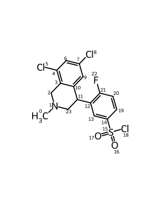 CN1Cc2c(Cl)cc(Cl)cc2C(c2cc(S(=O)(=O)Cl)ccc2F)C1